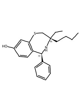 CCCC[C@]1(CC)CSc2cc(O)ccc2[C@H](c2ccccc2)N1